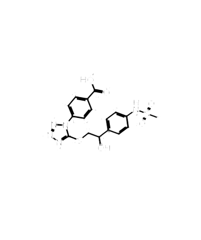 CS(=O)(=O)Nc1ccc(C(O)CSc2nnnn2-c2ccc(C(=O)O)cc2)cc1